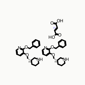 O=C(O)/C=C/C(=O)O.c1ccc(COc2ncccc2OC[C@H]2CCCNC2)cc1.c1ccc(COc2ncccc2OC[C@H]2CCCNC2)cc1